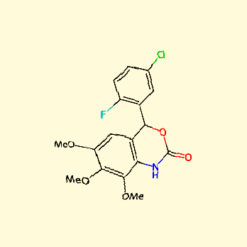 COc1cc2c(c(OC)c1OC)NC(=O)OC2c1cc(Cl)ccc1F